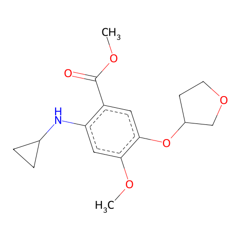 COC(=O)c1cc(OC2CCOC2)c(OC)cc1NC1CC1